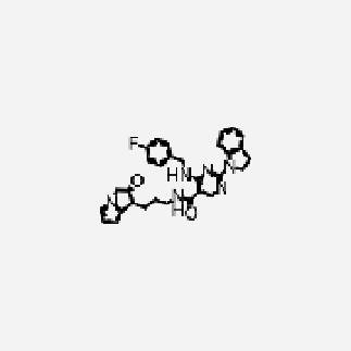 O=C(NCCCC1C(=O)Cn2cccc21)c1cnc(N2CCc3ccccc32)nc1NCc1ccc(F)cc1